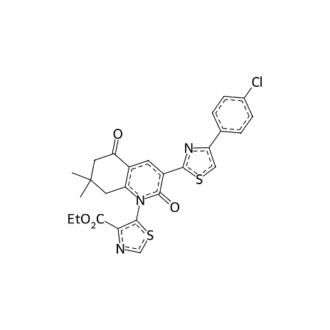 CCOC(=O)c1ncsc1-n1c2c(cc(-c3nc(-c4ccc(Cl)cc4)cs3)c1=O)C(=O)CC(C)(C)C2